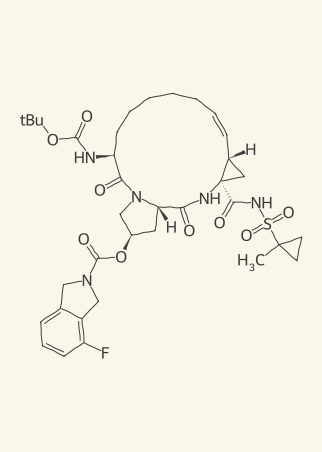 CC(C)(C)OC(=O)N[C@H]1CCCCC/C=C\[C@@H]2C[C@@]2(C(=O)NS(=O)(=O)C2(C)CC2)NC(=O)[C@@H]2C[C@@H](OC(=O)N3Cc4cccc(F)c4C3)CN2C1=O